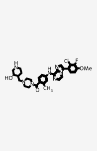 COc1ccc(-c2cnc3c(Nc4ccc(C(=O)N5CCN(CC6CCNC[C@H]6O)CC5)c(C)c4)nccn23)c(Cl)c1F